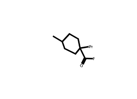 CC1CCC(C(=O)F)(C(C)C)CC1